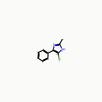 Cc1nc(-c2ccccc2)c(Br)[nH]1